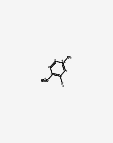 COc1cc[n+]([O-])cc1F